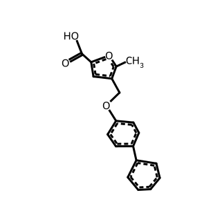 Cc1oc(C(=O)O)cc1COc1ccc(-c2ccccc2)cc1